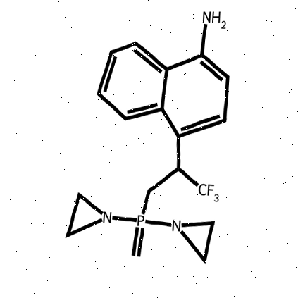 C=P(CC(c1ccc(N)c2ccccc12)C(F)(F)F)(N1CC1)N1CC1